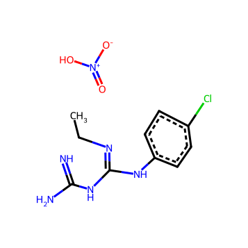 CCN=C(NC(=N)N)Nc1ccc(Cl)cc1.O=[N+]([O-])O